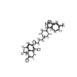 O=C1CCc2c(Cl)c(OCCCN3CCC(c4noc5cc(F)ccc45)CC3)cc3c2N1CC3